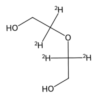 [2H]C([2H])(CO)OC([2H])([2H])CO